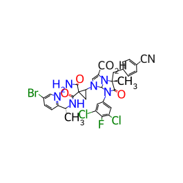 C[C@@H](NC(=O)C1(C(N)=O)CC1N1C=C(C(=O)O)N2C1N(c1cc(Cl)c(F)c(Cl)c1)C(=O)[C@@]2(C)Cc1ccc(C#N)cc1)c1ccc(Br)cn1